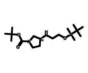 CC(C)(C)OC(=O)N1CC[C@H](NCCO[Si](C)(C)C(C)(C)C)C1